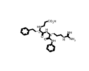 N=C(N)NCCC[C@@H](NC(=O)[C@H](CCc1ccccc1)NCCC(=O)O)C(=O)Nc1ccccc1